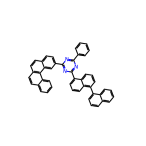 c1ccc(-c2nc(-c3ccc4ccc5ccc6ccccc6c5c4c3)nc(-c3cccc4c(-c5cccc6ccccc56)cccc34)n2)cc1